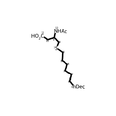 CCCCCCCCCCCCCCCCSCC(CC(=O)O)NC(C)=O